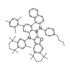 CCCCc1ccc(N2B3c4oc5cc6c(cc5c4N(c4cc5c(cc4C)C(C)(C)CCC5(C)C)c4cc(-c5c(C)cc(C)cc5C)cc(c43)-c3c2ccc2ccccc32)C(C)(C)CCC6(C)C)cc1